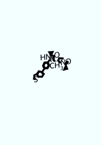 Cc1cc(C2=CCC3SCCC3=C2)ccc1C1NC2(CC2)C(=O)N1C[C@@H]1CCN(C(=O)C2CC2)C1